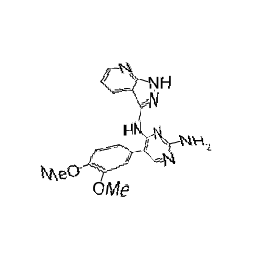 COc1ccc(-c2cnc(N)nc2Nc2n[nH]c3ncccc23)cc1OC